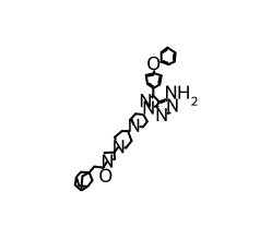 Nc1ncnc2c1c(-c1ccc(Oc3ccccc3)cc1)nn2C1CCN(C2CCN(C3CN(C(=O)CC45CC6CC(C4)C(C6)C5)C3)CC2)CC1